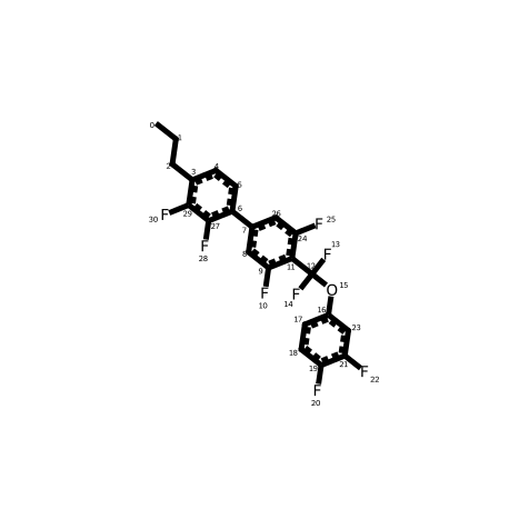 CCCc1ccc(-c2cc(F)c(C(F)(F)Oc3ccc(F)c(F)c3)c(F)c2)c(F)c1F